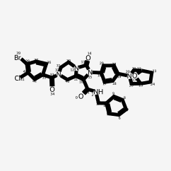 O=C(NCc1ccccc1)c1c2n(c(=O)n1-c1ccc(N3CC4CCC(C3)O4)cc1)CCN(C(=O)c1ccc(Br)c(Cl)c1)C2